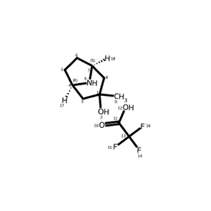 CC1(O)C[C@H]2CC[C@@H](C1)N2.O=C(O)C(F)(F)F